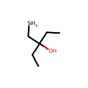 CCC(O)(CC)C[SiH3]